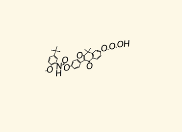 COc1ccc(C(C)(C)C)cc1NC(=O)Oc1ccc2c3c(oc2c1)C(C)(C)c1cc(OCOCO)ccc1C3=O